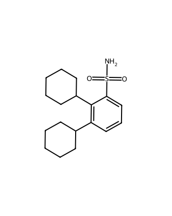 NS(=O)(=O)c1cccc(C2CCCCC2)c1C1CCCCC1